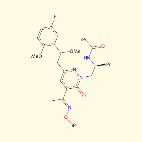 COc1ccc(F)cc1C(Cc1cc(/C(C)=N/OC(C)C)c(=O)n(C[C@@H](NC(=O)C(C)C)C(C)C)n1)OC